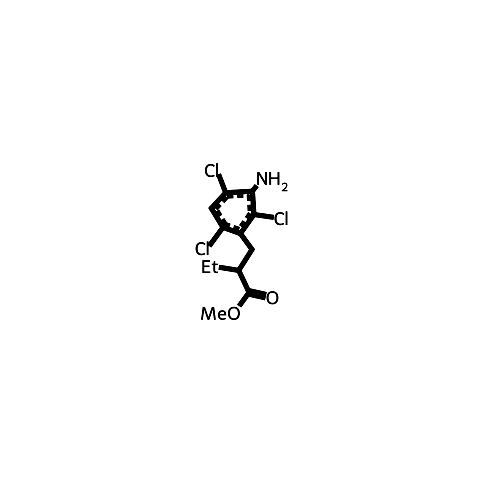 CCC(Cc1c(Cl)cc(Cl)c(N)c1Cl)C(=O)OC